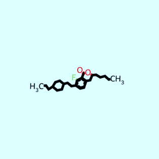 CCCCCC1Cc2ccc(CCC3CCC(CCC)CC3)c(F)c2C(=O)O1